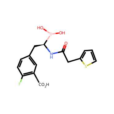 O=C(Cc1cccs1)N[C@@H](Cc1ccc(F)c(C(=O)O)c1)B(O)O